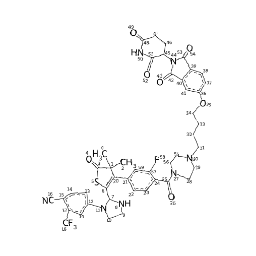 CC1(C)C(=O)SC(C2NCCN2c2ccc(C#N)c(C(F)(F)F)c2)=C1c1ccc(C(=O)N2CCN(CCCCOc3ccc4c(c3)C(=O)N(C3CCC(=O)NC3=O)C4=O)CC2)c(F)c1